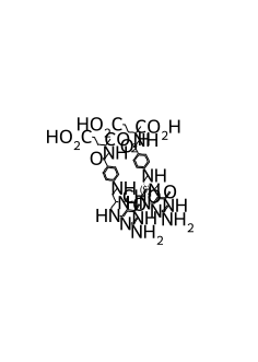 CN1c2c(nc(N)[nH]c2=O)NC[C@@H]1CNc1ccc(C(=O)NC(CCC(=O)O)C(=O)O)cc1.Nc1nc2c(c(=O)[nH]1)N(C=O)C(CNc1ccc(C(=O)NC(CCC(=O)O)C(=O)O)cc1)CN2